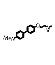 CNc1ccc(-c2ccc(OCCN(C)C)cc2)cc1